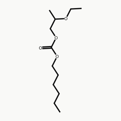 CCCCCCOC(=O)OCC(C)OCC